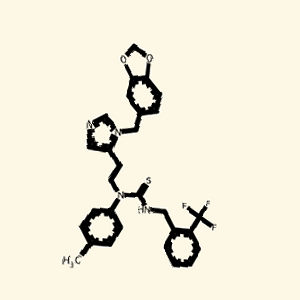 Cc1ccc(N(CCc2cncn2Cc2ccc3c(c2)OCO3)C(=S)NCc2ccccc2C(F)(F)F)cc1